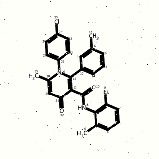 CCc1cccc(C)c1NC(=O)c1c(-c2cccc(C)c2)n(-c2ccc(Cl)cc2)c(C)cc1=O